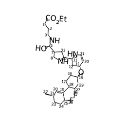 CCOC(=O)CCCN[C@H](O)C1CNC(C2CC(O[C@@H]3CCC(C4=C[C@H](C)CC[C@@H]4F)[C@H](F)C3)C=CN2)C1